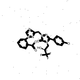 O=C(Cl)c1ccccc1-n1cnc(Cn2nc(-c3ccc(Cl)cc3)n(C[C@H](O)C(F)(F)F)c2=O)n1